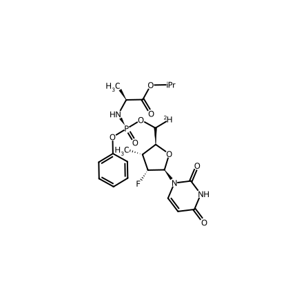 [2H]C(O[P@@](=O)(N[C@@H](C)C(=O)OC(C)C)Oc1ccccc1)[C@H]1O[C@@H](n2ccc(=O)[nH]c2=O)[C@H](F)[C@@H]1C